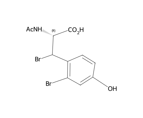 CC(=O)N[C@H](C(=O)O)C(Br)c1ccc(O)cc1Br